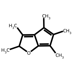 C[C]1OC2=C(C)C(C)=C(C)C2=C1C